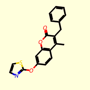 Cc1c(Cc2ccccc2)c(=O)oc2cc(Oc3nccs3)ccc12